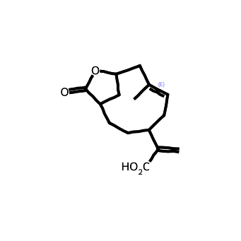 C=C(C(=O)O)C1C/C=C(\C)CC2CC(CC1)C(=O)O2